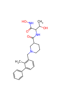 Cc1c(CN2CCCC(C(=O)NC(C(=O)NO)C(C)O)C2)cccc1-c1ccccc1